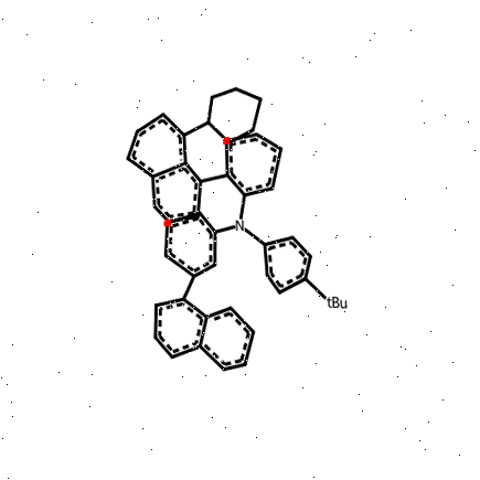 CC(C)(C)c1ccc(N(c2cccc(-c3cccc4ccccc34)c2)c2ccccc2-c2cccc3cccc(C4CCCCC4)c23)cc1